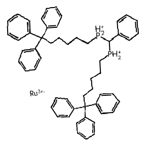 [Ru+3].c1ccc(C([PH2+]CCCCCC(c2ccccc2)(c2ccccc2)c2ccccc2)[PH2+]CCCCCC(c2ccccc2)(c2ccccc2)c2ccccc2)cc1